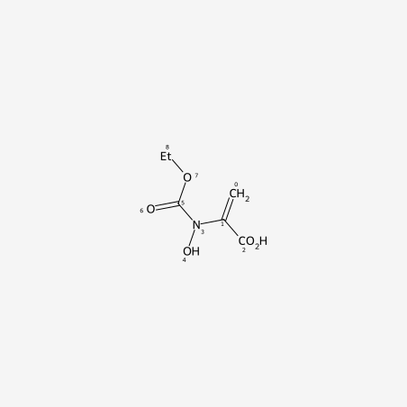 C=C(C(=O)O)N(O)C(=O)OCC